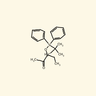 CCC(O[Si](c1ccccc1)(c1ccccc1)C(C)(C)C)C(C)=O